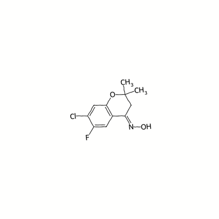 CC1(C)CC(=NO)c2cc(F)c(Cl)cc2O1